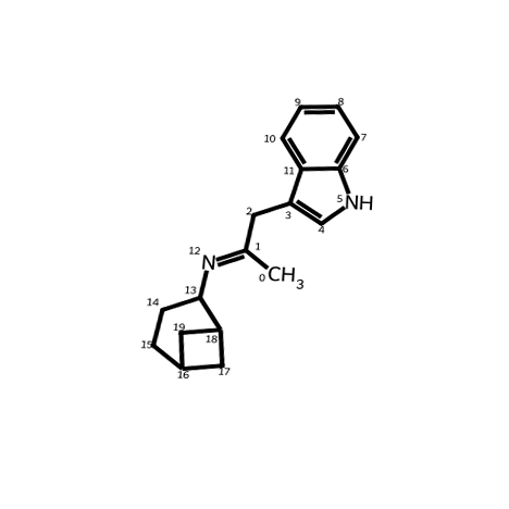 C/C(Cc1c[nH]c2ccccc12)=N\C1CCC2CC1C2